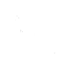 Nc1c([N+](=O)[O-])ccc(Cc2ccc(Br)cc2)c1F